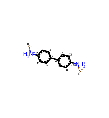 [S-][NH2+]c1ccc(-c2ccc([NH2+][S-])cc2)cc1